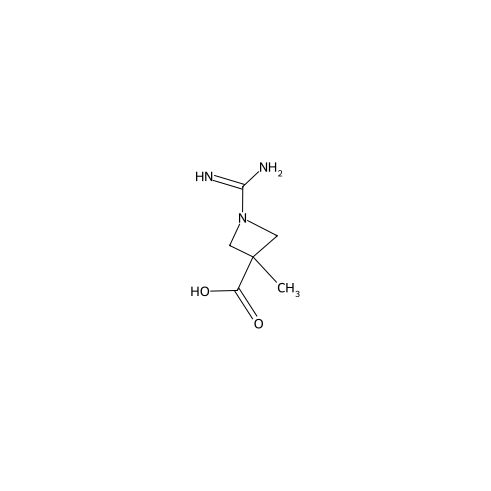 CC1(C(=O)O)CN(C(=N)N)C1